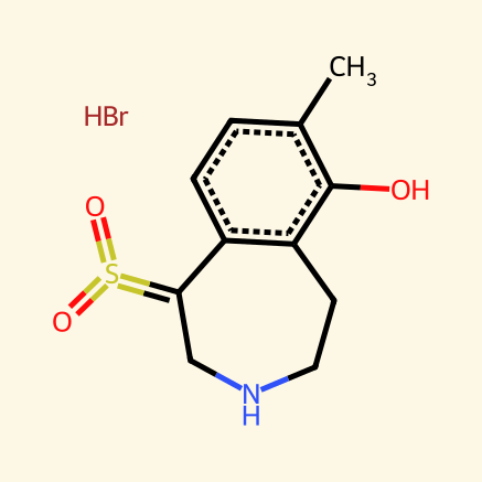 Br.Cc1ccc2c(c1O)CCNCC2=S(=O)=O